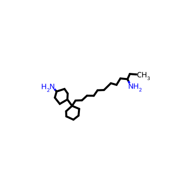 CCC(N)CCCCCCCCCC1(C2CCC(N)CC2)CCCCC1